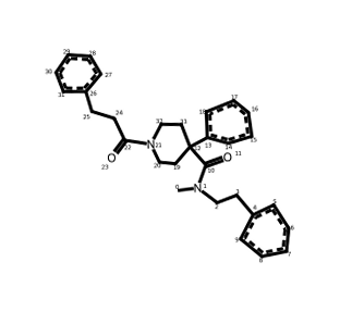 CN(CCc1ccccc1)C(=O)C1(c2ccccc2)CCN(C(=O)CCc2ccccc2)CC1